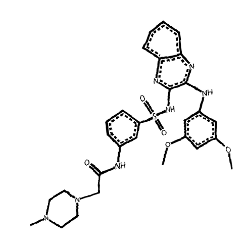 COc1cc(Nc2nc3ccccc3nc2NS(=O)(=O)c2cccc(NC(=O)CN3CCN(C)CC3)c2)cc(OC)c1